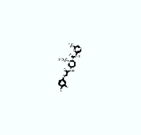 O=C(COc1ccc(Cl)c(F)c1)N[C@H]1CC[C@H](C(=O)Nc2cncc(C(F)(F)F)n2)N(C(=O)O)C1